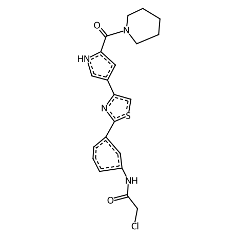 O=C(CCl)Nc1cccc(-c2nc(-c3c[nH]c(C(=O)N4CCCCC4)c3)cs2)c1